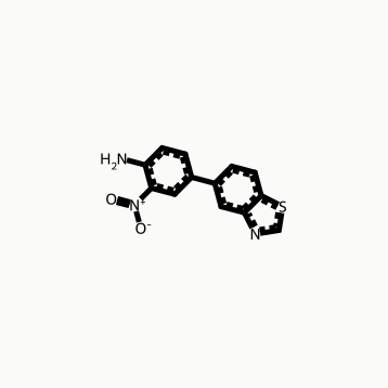 Nc1ccc(-c2ccc3scnc3c2)cc1[N+](=O)[O-]